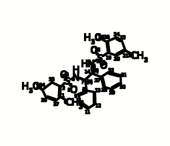 CC1=C(S(=O)(=O)N[C@H](c2ccccc2)[C@H](NS(=O)(=O)c2cc(C)ccc2C)c2ccccc2)CC(C)C=C1